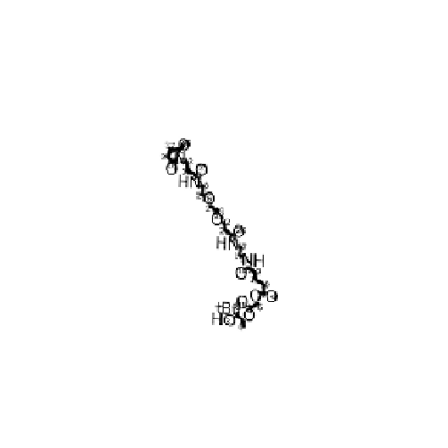 CC(CO)OC(COC(=O)CCCC(=O)NCCNC(=O)CCOCCOCCNC(=O)CCN1C(=O)C=CC1=O)OC(C)(C)C